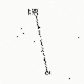 O=P(O)(O)OCCCCCCCCCCCCCCCCCCCCCCCCCCCCCCCCCCCCO